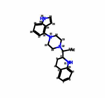 CC(=O)C(C1CCc2ccccc2N1)N1CCN(c2cccc3[nH]ccc23)CC1